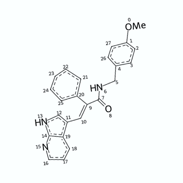 COc1ccc(CNC(=O)C(=Cc2c[nH]c3ncccc23)c2ccccc2)cc1